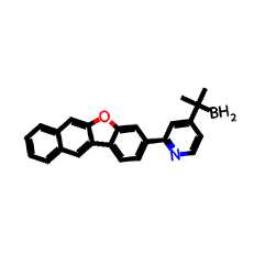 BC(C)(C)c1ccnc(-c2ccc3c(c2)oc2cc4ccccc4cc23)c1